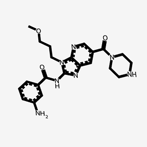 COCCCn1c(NC(=O)c2cccc(N)c2)nc2cc(C(=O)N3CCNCC3)cnc21